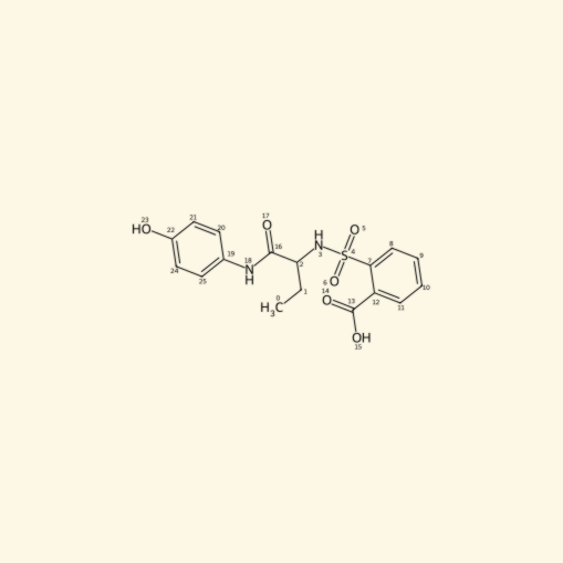 CCC(NS(=O)(=O)c1ccccc1C(=O)O)C(=O)Nc1ccc(O)cc1